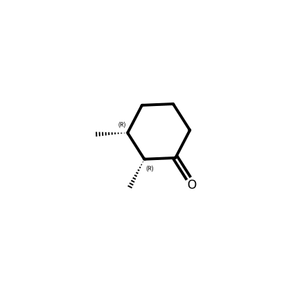 C[C@@H]1CCCC(=O)[C@@H]1C